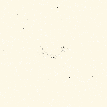 NC(=O)[C@@H]1CCCN1c1ccc(C2CN(C(=O)N3CC4(CC(c5nnc(C6CC6)[nH]5)C4)C3)C2)cc1